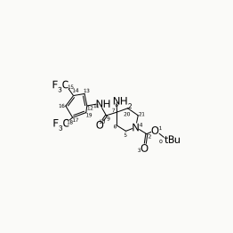 CC(C)(C)OC(=O)N1CCC(N)(C(=O)Nc2cc(C(F)(F)F)cc(C(F)(F)F)c2)CC1